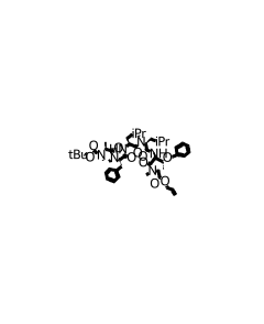 C=CCOC(=O)CN(C)C(=O)[C@@H](NC(=O)[C@H](CC(C)C)N(C)C(=O)[C@H](CC(C)C)NC(=O)[C@H](Cc1ccccc1)N(C)C(=O)[C@H](C)N(C)C(=O)OC(C)(C)C)[C@@H](C)OCc1ccccc1